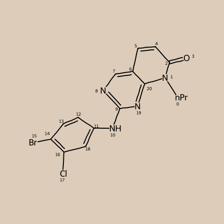 CCCn1c(=O)ccc2cnc(Nc3ccc(Br)c(Cl)c3)nc21